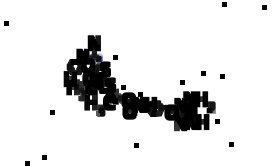 CN(CCOC(=O)NCc1ccc(COc2nc(N)nc3[nH]cnc23)cc1)c1cc2c(s1)-c1sc(/C=C(/C#N)c3nc4ccccc4o3)cc1[Si]2(C)C